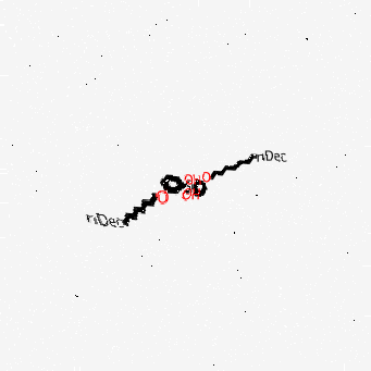 CCCCCCCCCCCCCCCCCCOc1cccc([Si](O)(O)c2cccc(OCCCCCCCCCCCCCCCCCC)c2)c1